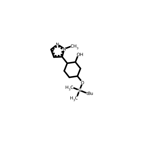 Cn1nccc1C1CCC(O[Si](C)(C)C(C)(C)C)CC1O